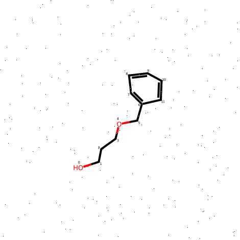 OC[CH]COCc1ccccc1